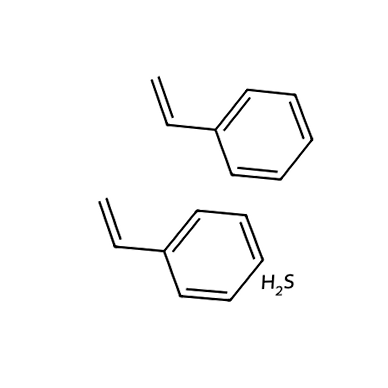 C=Cc1ccccc1.C=Cc1ccccc1.S